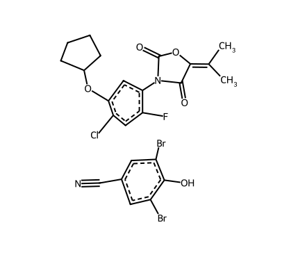 CC(C)=C1OC(=O)N(c2cc(OC3CCCC3)c(Cl)cc2F)C1=O.N#Cc1cc(Br)c(O)c(Br)c1